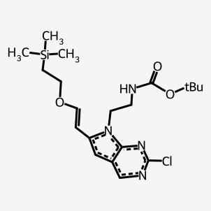 CC(C)(C)OC(=O)NCCn1c(C=COCC[Si](C)(C)C)cc2cnc(Cl)nc21